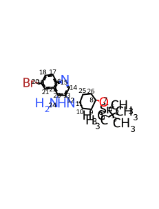 CC(C)(C)[Si](C)(C)O[C@H]1CC[C@H](Nc2cnc3ccc(Br)cc3c2N)CC1